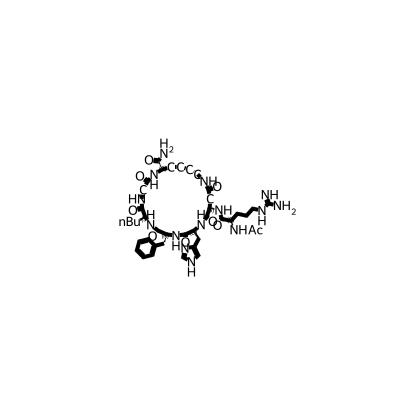 CCCC[C@@H]1NC(=O)[C@@H](Cc2ccccc2)NC(=O)[C@H](Cc2c[nH]cn2)NC(=O)[C@@H](NC(=O)[C@H](CCCNC(=N)N)NC(C)=O)CC(=O)NCCCC[C@@H](C(N)=O)NC(=O)CNC1=O